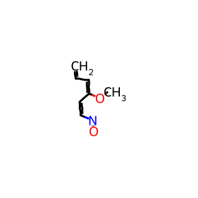 C=C/C=C(\C=C/N=O)OC